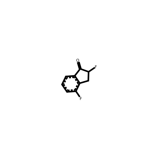 O=C1c2cccc(F)c2CC1F